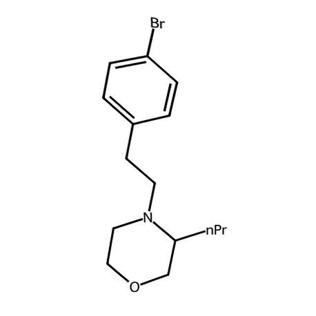 CCCC1COCCN1CCc1ccc(Br)cc1